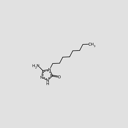 CCCCCCCCn1c(N)n[nH]c1=O